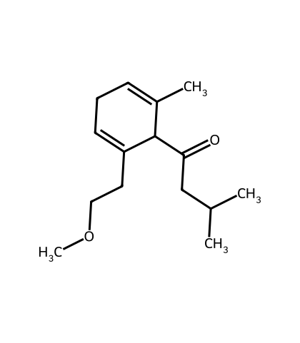 COCCC1=CCC=C(C)C1C(=O)CC(C)C